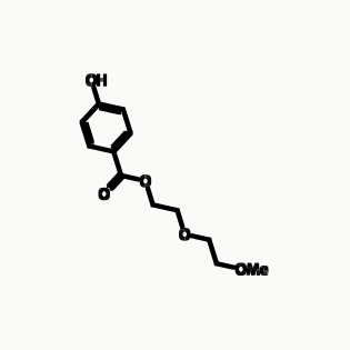 COCCOCCOC(=O)c1ccc(O)cc1